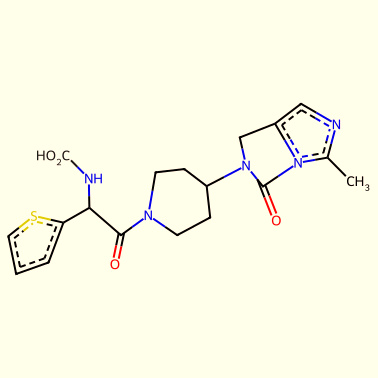 Cc1ncc2n1C(=O)N(C1CCN(C(=O)C(NC(=O)O)c3cccs3)CC1)C2